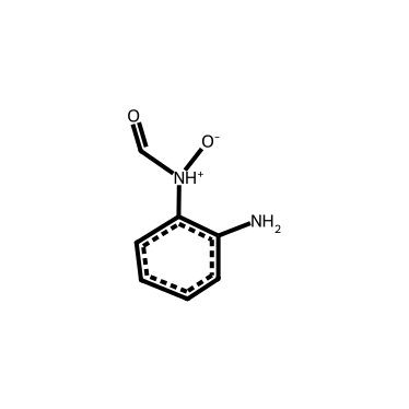 Nc1ccccc1[NH+]([O-])C=O